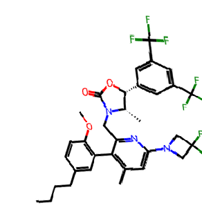 CCCCc1ccc(OC)c(-c2c(C)cc(N3CC(F)(F)C3)nc2CN2C(=O)O[C@H](c3cc(C(F)(F)F)cc(C(F)(F)F)c3)[C@@H]2C)c1